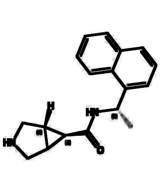 C[C@H](NC(=O)[C@H]1C2CNC[C@@H]21)c1cccc2ccccc12